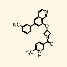 N#CC1=CC(c2cc(OC3CN(C(=O)C4=CC=C(C(F)(F)F)NC4)C3)c3cnccc3c2)CC=C1